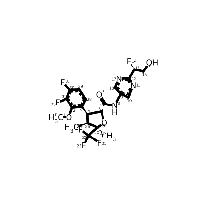 COc1c([C@H]2[C@H](C(=O)Nc3cnc([C@H](F)CO)nc3)O[C@@](C)(C(F)(F)F)[C@H]2C)ccc(F)c1F